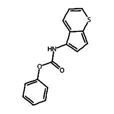 O=C(Nc1ccc2scccc1-2)Oc1ccccc1